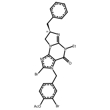 CCN1C(=O)c2c(nc(Br)n2Cc2ccc(OC(C)=O)c(Br)c2)N2C[C@@H](Cc3ccccc3)N=C12